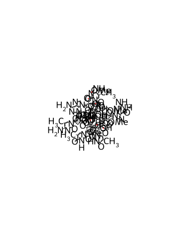 CC[C@H]1O[C@@H](n2cc(C)c(N)nc2=O)C[C@H]1OP(=O)(S)OC[C@H]1O[C@@H](n2cc(C)c(=O)[nH]c2=O)C(OCCOC)[C@H]1OP(=O)(O)OC[C@H]1O[C@@H](n2cnc3c(N)ncnc32)C(OCCOC)[C@H]1OP(=O)(O)OC[C@H]1O[C@@H](n2cnc3c(=O)[nH]c(N)nc32)C(OCCOC)[C@H]1OP(=O)(S)OC[C@H]1O[C@@H](n2cc(C)c(=O)[nH]c2=O)C(OCCOC)[C@H]1OP(=O)(S)OC[C@H]1O[C@@H](n2cc(C)c(N)nc2=O)C(OCCOC)[C@H]1O